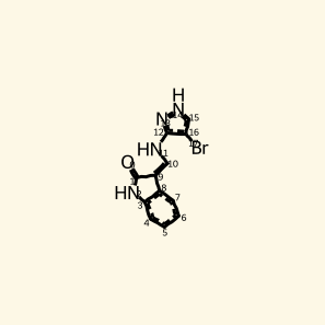 O=C1Nc2ccccc2C1=CNc1n[nH]cc1Br